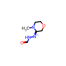 CN1CCOC/C1=N/NC=O